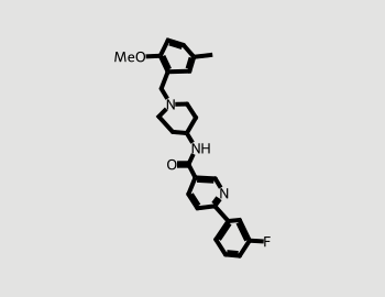 COc1ccc(C)cc1CN1CCC(NC(=O)c2ccc(-c3cccc(F)c3)nc2)CC1